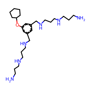 NCCCNCCCNCc1cc(CNCCCNCCCN)cc(OC2CCCCC2)c1